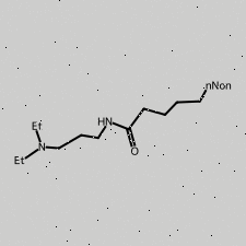 CCCCCCCCCCCCCC(=O)NCCCN(CC)CC